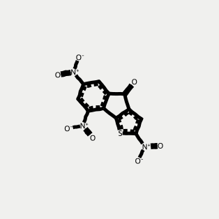 O=C1c2cc([N+](=O)[O-])sc2-c2c1cc([N+](=O)[O-])cc2[N+](=O)[O-]